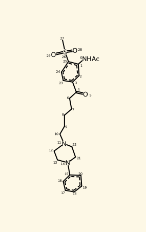 CC(=O)Nc1cc(C(=O)CCCCCN2CCN(c3ccccc3)CC2)ccc1S(C)(=O)=O